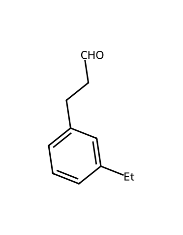 CCc1cccc(CCC=O)c1